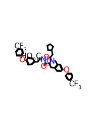 O=C(O)[C@H](Cc1ccc(Oc2ccc(C(F)(F)F)cc2)cc1)NC(=O)[C@@H]1Cc2ccc(Oc3ccc(C(F)(F)F)cc3)cc2CN1C(=O)CC1CCCC1